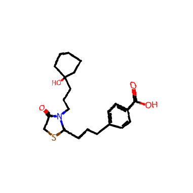 O=C(O)c1ccc(CCCC2SCC(=O)N2CCCC2(O)CCCCC2)cc1